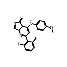 COc1ccc(NC2=CC(c3c(F)cccc3F)=NC3C=NC(=O)C23)cc1